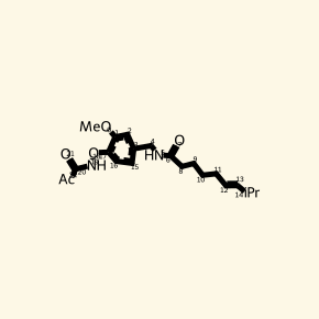 COc1cc(CNC(=O)CCCC/C=C/C(C)C)ccc1ONC(=O)C(C)=O